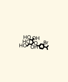 CC(C)c1ccc(COC(C(O)CO)C(O)C(O)CO)cc1Br